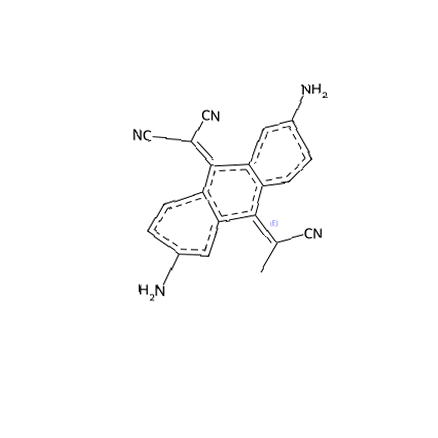 C/C(C#N)=c1/c2ccc(N)cc2c(=C(C#N)C#N)c2ccc(N)cc12